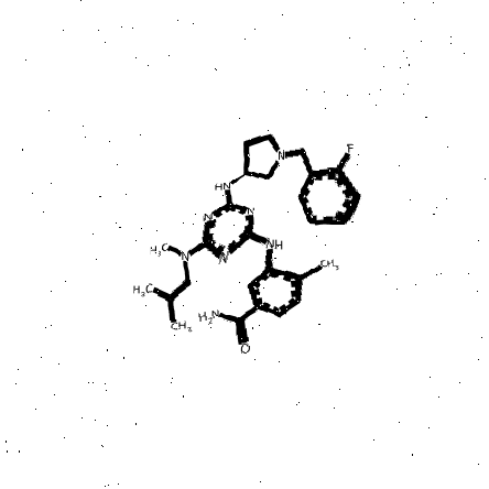 Cc1ccc(C(N)=O)cc1Nc1nc(N[C@H]2CCN(Cc3ccccc3F)C2)nc(N(C)CC(C)C)n1